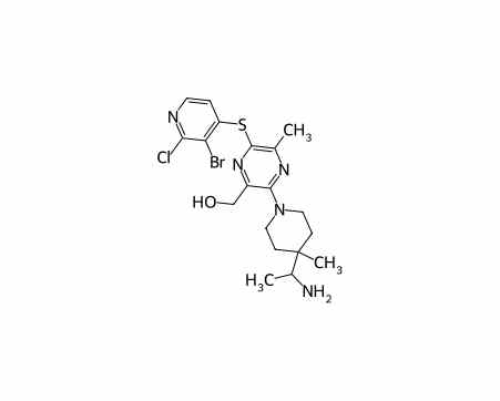 Cc1nc(N2CCC(C)(C(C)N)CC2)c(CO)nc1Sc1ccnc(Cl)c1Br